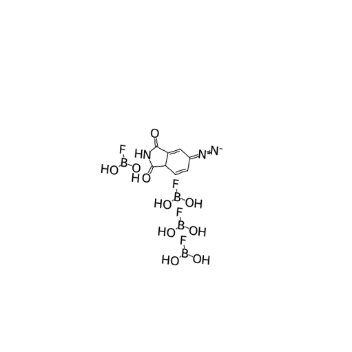 OB(O)F.OB(O)F.OB(O)F.OB(O)F.[N-]=[N+]=C1C=CC2C(=O)NC(=O)C2=C1